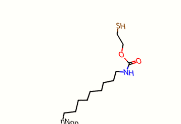 CCCCCCCCCCCCCCCCCCNC(=O)OCCS